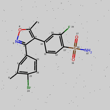 Cc1cc(-c2noc(C)c2-c2ccc(S(N)(=O)=O)c(F)c2)ccc1Br